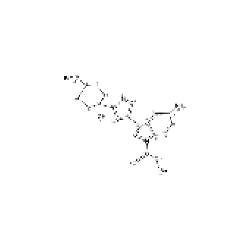 CCOC(=O)C1CCC(O)(c2ncc(-c3cn(C(=O)OC(C)(C)C)c4ccc(N)cc34)s2)CC1